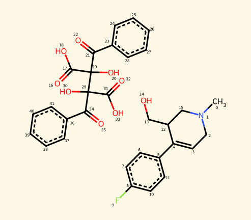 CN1CC=C(c2ccc(F)cc2)C(CO)C1.O=C(O)C(O)(C(=O)c1ccccc1)C(O)(C(=O)O)C(=O)c1ccccc1